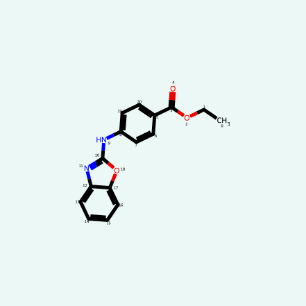 CCOC(=O)c1ccc(Nc2nc3ccccc3o2)cc1